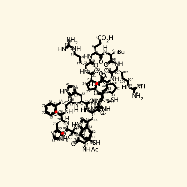 CCCC[C@H](NC(=O)[C@H](CCC(=O)O)NC(=O)[C@@H](CCCNC(=N)N)NC(=O)[C@@H]1CCCN1C(=O)[C@@H]1CCCN1C(=O)[C@H](CS)NC(=O)[C@H](Cc1c[nH]c2ccccc12)NC(=O)[C@H](Cc1c[nH]cn1)NC(=O)[C@@H](Cc1ccccc1)NC(=O)[C@H](Cc1c[nH]cn1)NC(=O)C(C)(C)NC(=O)[C@H](CS)NC(C)=O)C(=O)N[C@H](CCCNC(=N)N)C(=O)N[C@H](CCCNC(=N)N)C(N)=O